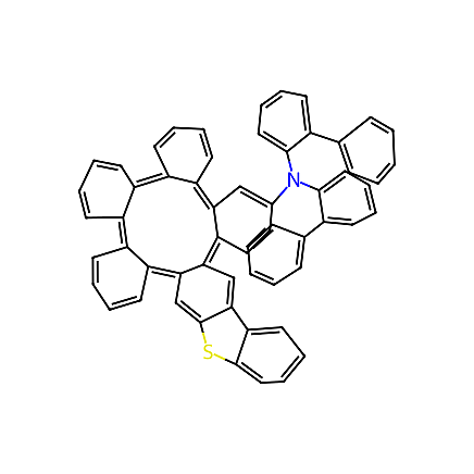 c1ccc(-c2ccccc2N(c2ccc3c(c2)c2ccccc2c2ccccc2c2ccccc2c2cc4sc5ccccc5c4cc32)c2ccccc2-c2ccccc2)cc1